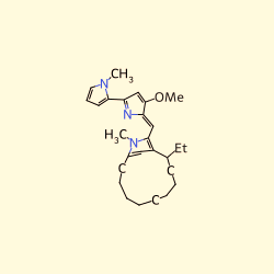 CCC1CCCCCCCCc2cc1c(C=C1N=C(c3cccn3C)C=C1OC)n2C